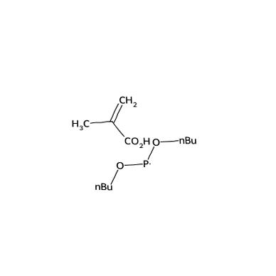 C=C(C)C(=O)O.CCCCO[P]OCCCC